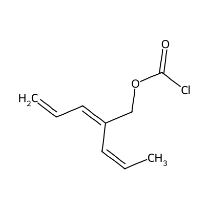 C=C/C=C(\C=C/C)COC(=O)Cl